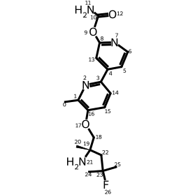 Cc1nc(-c2ccnc(OC(N)=O)c2)ccc1OC[C@@](C)(N)CC(C)(C)F